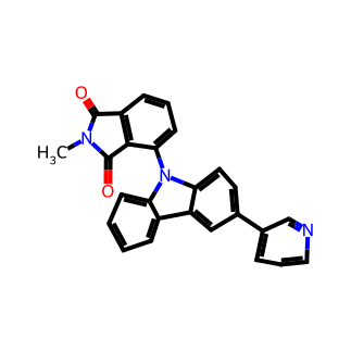 CN1C(=O)c2cccc(-n3c4ccccc4c4cc(-c5cccnc5)ccc43)c2C1=O